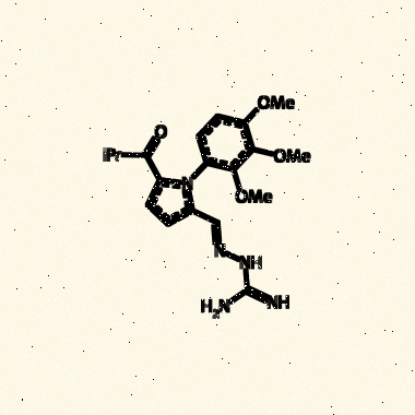 COc1ccc(-n2c(C=NNC(=N)N)ccc2C(=O)C(C)C)c(OC)c1OC